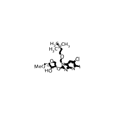 COC[C@@H]1OC[C@@H](Oc2nc3nc(I)c(Cl)cc3n2COCC[Si](C)(C)C)[C@H]1O